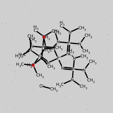 CN(C)P(=N[P+](N=P(N(C)C)(N(C)C)N(C)C)(N=P(N(C)C)(N(C)C)N(C)C)N=P(N(C)C)(N(C)C)N(C)C)(N(C)C)N(C)C.C[O-]